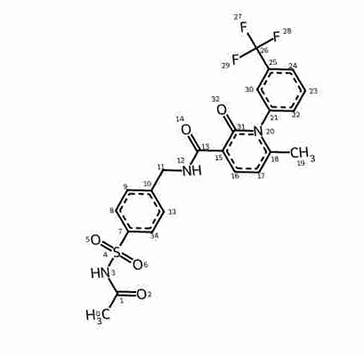 CC(=O)NS(=O)(=O)c1ccc(CNC(=O)c2ccc(C)n(-c3cccc(C(F)(F)F)c3)c2=O)cc1